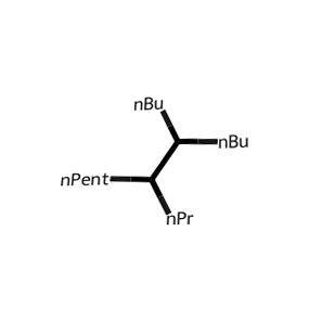 CCCCCC(CCC)C(CCCC)CCCC